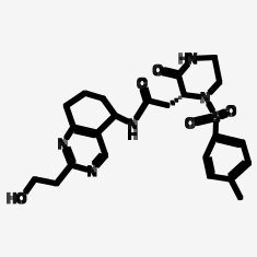 Cc1ccc(S(=O)(=O)N2CCNC(=O)[C@H]2CC(=O)NC2CCCc3nc(CCO)ncc32)cc1